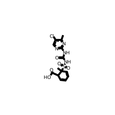 Cc1nc(NC(=O)NS(=O)(=O)C2(C)C=CC=CC2C(=O)O)ncc1Cl